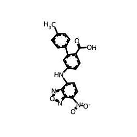 Cc1ccc(-c2cc(Nc3ccc([N+](=O)[O-])c4nonc34)ccc2C(=O)O)cc1